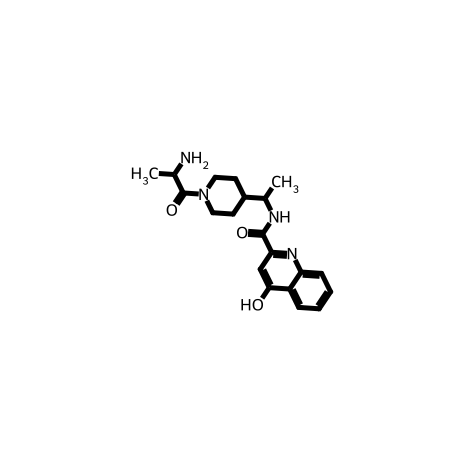 CC(N)C(=O)N1CCC(C(C)NC(=O)c2cc(O)c3ccccc3n2)CC1